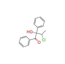 CC(Cl)C(O)(C(=O)c1ccccc1)c1ccccc1